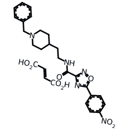 O=C(NCCC1CCN(Cc2ccccc2)CC1)c1noc(-c2ccc([N+](=O)[O-])cc2)n1.O=C(O)/C=C/C(=O)O